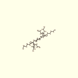 CCCCCOC(CSSSSCC(OCCCCC)[SiH](CCC)CCC)[SiH](CCC)CCC